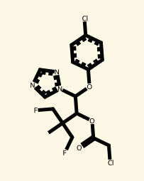 CC(CF)(CF)C(OC(=O)CCl)C(Oc1ccc(Cl)cc1)n1cncn1